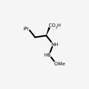 COBN[C@@H](CC(C)C)C(=O)O